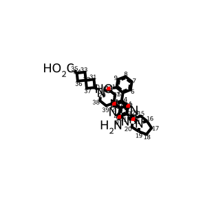 Nc1nnc(-c2ccccc2O)cc1N1CC2CCC(C1)N2c1ncc(C2CCN(C3CC4(CC(C(=O)O)C4)C3)CC2)cn1